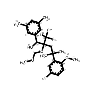 COCOC(CC(C)(C)c1cc(F)ccc1OC)(C(O)c1cc(C)cc(C)c1)C(F)(F)F